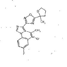 Cc1c2c(-c3noc(C4(C)CCCO4)n3)ncn2c2ccc(F)cc2[n+]1[O-]